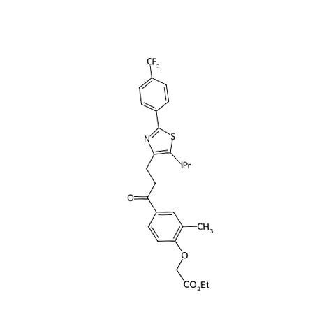 CCOC(=O)COc1ccc(C(=O)CCc2nc(-c3ccc(C(F)(F)F)cc3)sc2C(C)C)cc1C